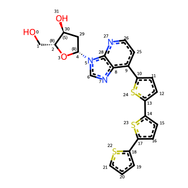 OC[C@H]1O[C@@H](n2cnc3c(-c4ccc(-c5ccc(-c6cccs6)s5)s4)ccnc32)C[C@@H]1O